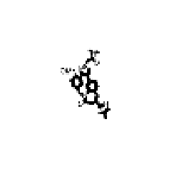 COc1ccc(CN2C(=O)CC(c3ncc(C)o3)=Cc3ccc(-c4cnn(CC(=O)N(C)C)c4)cc32)cc1